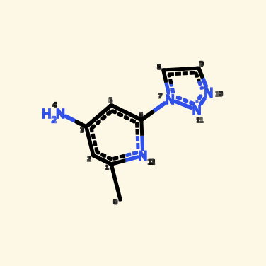 Cc1cc(N)cc(-n2ccnn2)n1